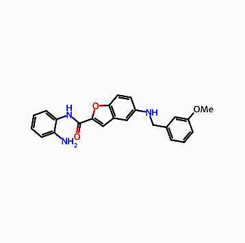 COc1cccc(CNc2ccc3oc(C(=O)Nc4ccccc4N)cc3c2)c1